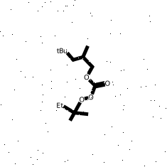 CCC(C)(C)OOC(=O)OCC(C)CC(C)(C)C